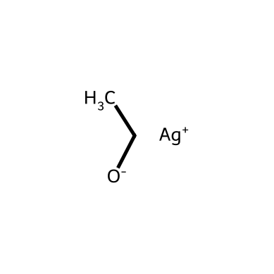 CC[O-].[Ag+]